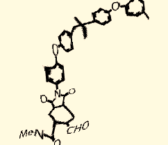 CNC(=O)C1CC2C(=O)N(c3ccc(Oc4ccc(C(C)(C)c5ccc(Oc6ccc(C)cc6)cc5)cc4)cc3)C(=O)C2CC1C=O